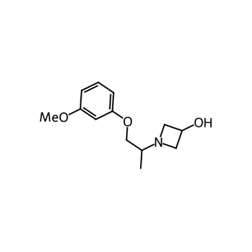 COc1cccc(OCC(C)N2CC(O)C2)c1